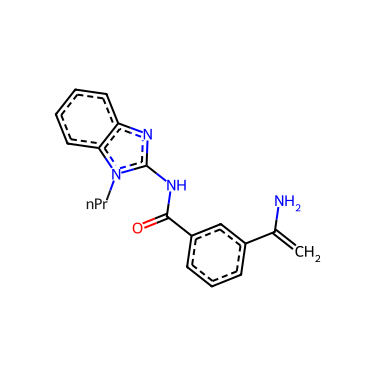 C=C(N)c1cccc(C(=O)Nc2nc3ccccc3n2CCC)c1